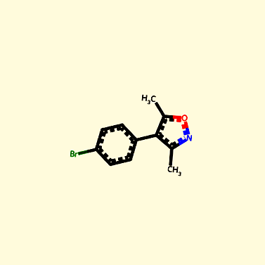 Cc1noc(C)c1-c1ccc(Br)cc1